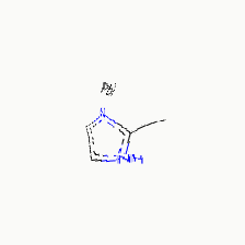 Cc1ncc[nH]1.[Pb]